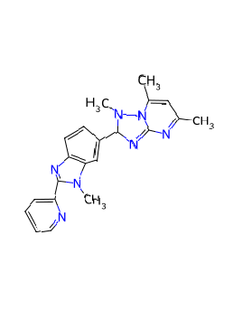 CC1=CC(C)=NC2=NC(c3ccc4nc(-c5ccccn5)n(C)c4c3)N(C)N12